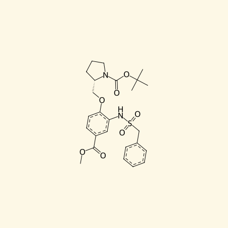 COC(=O)c1ccc(OC[C@@H]2CCCN2C(=O)OC(C)(C)C)c(NS(=O)(=O)Cc2ccccc2)c1